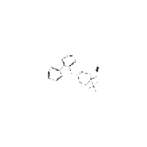 CC(C)(C)C1(CC#N)CCN(Cc2ccccc2-c2ccccc2)CC1